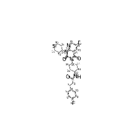 O=C(CCc1ccc(F)cc1)NC1CCC(n2c(=O)c3cc(F)cnc3n(C3CCSCC3)c2=O)CC1